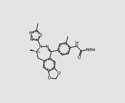 CNC(=O)Nc1ccc(C2=NN(c3nnc(C)s3)[C@H](C)Cc3cc4c(cc32)OCO4)cc1C